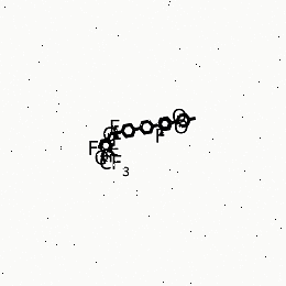 CC1COC(c2ccc(C3CCC(C4CCC(C(F)(F)Oc5cc(F)c(OC(F)(F)F)c(F)c5)CC4)CC3)c(F)c2)OC1